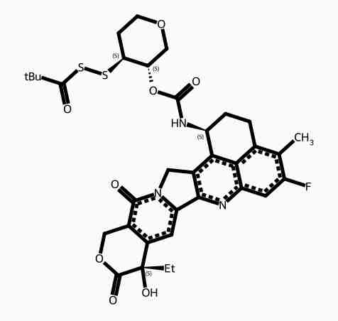 CC[C@@]1(O)C(=O)OCc2c1cc1n(c2=O)Cc2c-1nc1cc(F)c(C)c3c1c2[C@@H](NC(=O)O[C@H]1COCC[C@@H]1SSC(=O)C(C)(C)C)CC3